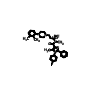 Cc1cccc(N2CCN(CCCN(C)C(=O)c3nc(-c4ccccc4)n(-c4ccc(F)cc4)c3C)CC2)c1C.Cl.Cl